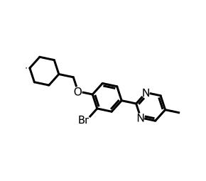 Cc1cnc(-c2ccc(OCC3CC[CH]CC3)c(Br)c2)nc1